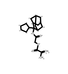 C=C(C)C(=O)OCC(=O)OC1(C2CCCC2)C2CC3CC(C2)CC1C3